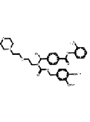 COc1ccc(COC(=O)N(CCOCCN2CCOCC2)[C@H](c2ccc(C(=O)Nc3ccccc3N)cc2)C(C)C)cc1OC